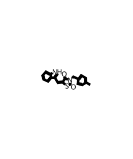 Cc1ccc(CN2C(=O)S/C(=C/c3c[nH]c4ccccc34)C2=O)cc1